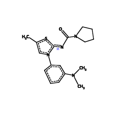 Cc1cn(-c2cccc(N(C)C)c2)/c(=N/C(=O)N2CCCC2)s1